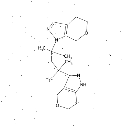 CC(C)(CC(C)(C)n1ncc2c1COCC2)c1n[nH]c2c1COCC2